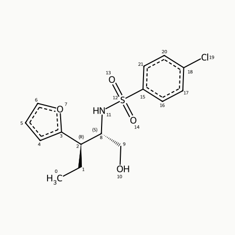 CC[C@@H](c1ccco1)[C@@H](CO)NS(=O)(=O)c1ccc(Cl)cc1